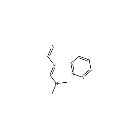 CN(C)C=NC=S.c1ccnnc1